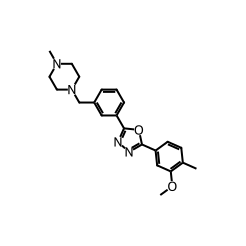 COc1cc(-c2nnc(-c3cccc(CN4CCN(C)CC4)c3)o2)ccc1C